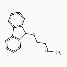 CNCCOC1c2ccccc2-c2ccccc21